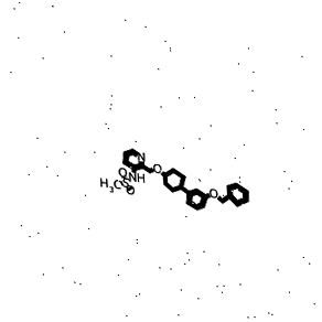 CS(=O)(=O)Nc1cccnc1COC1CCC(c2cccc(OCc3ccccc3)c2)CC1